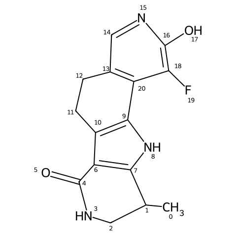 CC1CNC(=O)c2c1[nH]c1c2CCc2cnc(O)c(F)c2-1